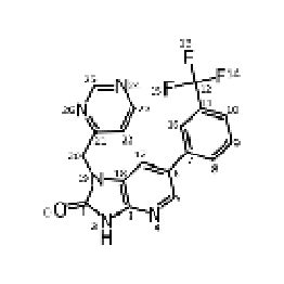 O=c1[nH]c2ncc(-c3cccc(C(F)(F)F)c3)cc2n1Cc1ccncn1